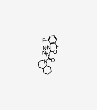 O=C(N1CCCC2CCCCC21)n1nnn(-c2c(F)cccc2F)c1=O